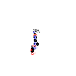 CCN(CC)CCS(=O)(=O)N1CCN(c2ccc(N3CCN(OC(=O)NC4[C@@H]5CC6C[C@H]4CC(O)(C6)C5)c4ccccc43)cc2)CC1